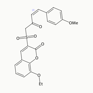 CCOc1cccc2cc(S(=O)(=O)CC(=O)/C=C\c3ccc(OC)cc3)c(=O)oc12